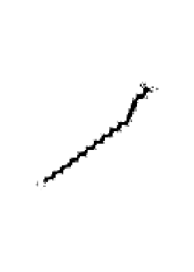 CCCCCCCCCCCCCCCCCCCCCC#CC#CC=CC(=O)O